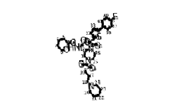 O=C(NOC1CCCCO1)[C@H]1CN(S(=O)(=O)CCCN2CCCCC2)CCN1S(=O)(=O)c1ccc(-c2ccc(F)cc2)s1